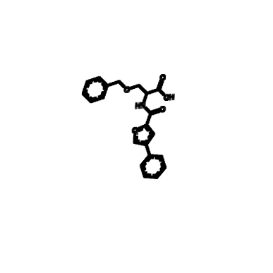 O=C(NC(COCc1ccccc1)C(=O)O)c1cc(-c2ccccc2)co1